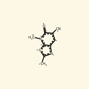 Cc1nc2cc(C#N)c(=O)n(C)c2s1